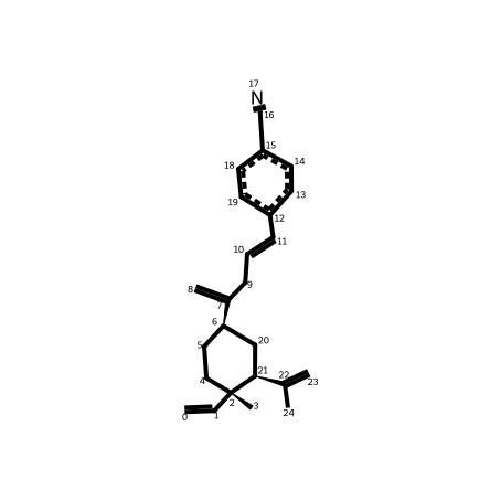 C=C[C@]1(C)CC[C@@H](C(=C)C/C=C/c2ccc(C#N)cc2)C[C@H]1C(=C)C